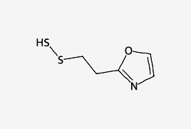 SSCCc1ncco1